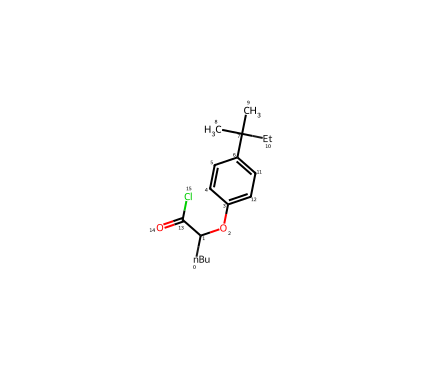 CCCCC(Oc1ccc(C(C)(C)CC)cc1)C(=O)Cl